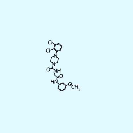 COc1cccc(NC(=O)CNC(=O)N2CCN(c3cccc(Cl)c3Cl)CC2)c1